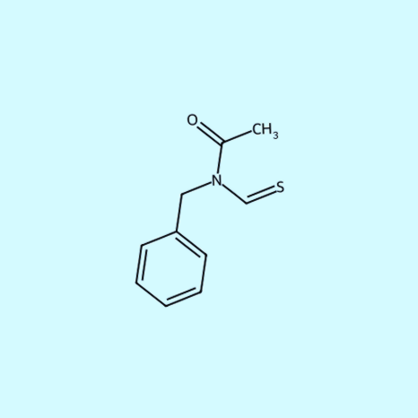 CC(=O)N(C=S)Cc1ccccc1